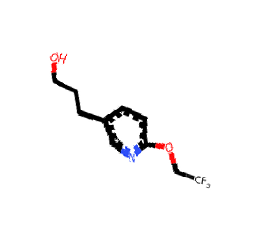 OCCCc1ccc(OCC(F)(F)F)nc1